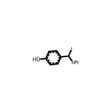 CCCC(I)c1ccc(O)cc1